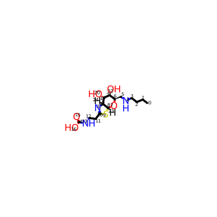 CCCCNC[C@H]1O[C@@H]2SC(CCNC(=O)O)=N[C@@H]2[C@@H](O)[C@@H]1O